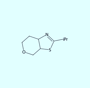 CC(C)C1=NC2CCOCC2S1